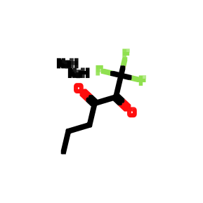 CCCC(=O)C(=O)C(F)(F)F.[NaH].[NaH]